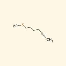 CC#CCCCCS[CH]CC